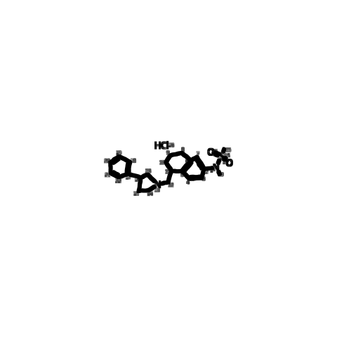 CN(c1ccc2c(c1)CCCC2CN1CCC(c2ccccc2)C1)S(C)(=O)=O.Cl